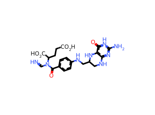 N=CN(C(=O)c1ccc(NCC2CNc3nc(N)[nH]c(=O)c3N2)cc1)C(CCC(=O)O)C(=O)O